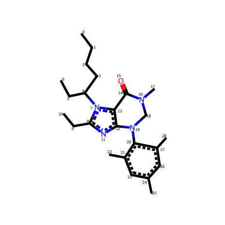 CCCCC(CC)n1c(CC)nc2c1C(=O)N(C)CN2c1c(C)cc(C)cc1C